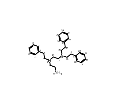 NCCN(CCc1ccccc1)CCN(CCc1ccccc1)CCc1ccccc1